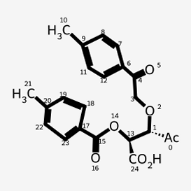 CC(=O)[C@@H](OCC(=O)c1ccc(C)cc1)[C@H](OC(=O)c1ccc(C)cc1)C(=O)O